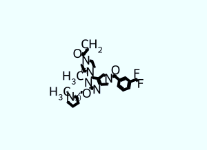 C=CC(=O)N1CCN(c2nc(OC[C@@H]3CCCN3C)nc3c2CN(C(=O)c2cccc(C(F)F)c2)C3)[C@@H](C)C1